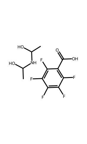 CC(O)NC(C)O.O=C(O)c1c(F)c(F)c(F)c(F)c1F